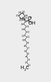 CCCCCCCCCCCCCCCCCC(C(=O)O)[n+]1ccccc1